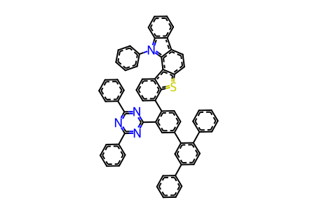 c1ccc(-c2ccc(-c3ccccc3)c(-c3ccc(-c4cccc5c4sc4ccc6c7ccccc7n(-c7ccccc7)c6c45)c(-c4nc(-c5ccccc5)nc(-c5ccccc5)n4)c3)c2)cc1